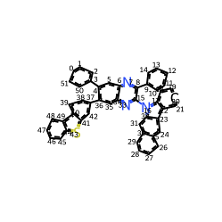 c1ccc(-c2cc3nc(-c4ccccc4)c(-n4c5ccccc5c5cc6ccccc6cc54)nc3cc2-c2ccc3c(c2)sc2ccccc23)cc1